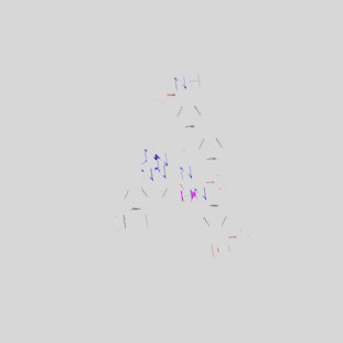 CC1(C)CN(C(=O)C=Cc2c(-n3cnnn3)ccc(Cl)c2F)C(C(=O)Nc2ccc(C(=O)O)cc2)c2cccc(-c3ccc(C(N)=O)cc3)c21